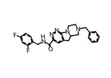 O=C(NCc1ccc(F)cc1F)c1cc2c(nn1)N1CCN(Cc3ccccc3)CC1C2